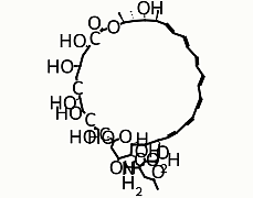 CC1CC(N)C(O)C(O[C@H]2/C=C/C=C/C=C/C=C/C=C/C=C/C=C/[C@H](C)[C@@H](O)[C@@H](C)[C@H](C)OC(=O)C[C@H](O)C[C@H](O)CC[C@@H](O)[C@H](O)C[C@H](O)C[C@]3(O)C[C@H](O)[C@@H](C(=O)O)[C@H](C2)O3)O1